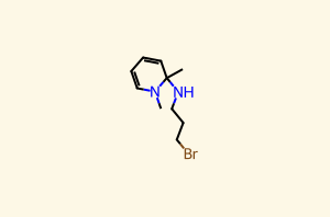 CN1C=CC=CC1(C)NCCCBr